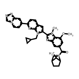 COc1cc(C(=O)N2CC3CCC2[C@@H]3C)cc2nc(-c3cc4ccc(-c5ccn6cnnc6c5)nc4n3CC3CC3)n(C)c12